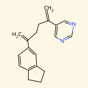 C=C(CCC(=C)c1ccc2c(c1)CCC2)c1cncnc1